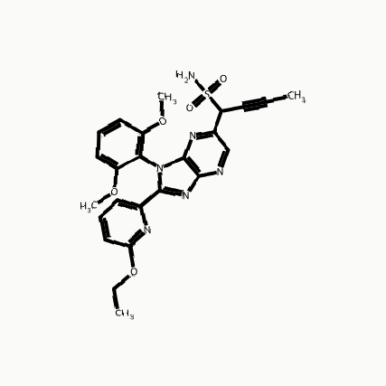 CC#CC(c1cnc2nc(-c3cccc(OCC)n3)n(-c3c(OC)cccc3OC)c2n1)S(N)(=O)=O